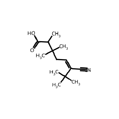 CC(C(=O)O)C(C)(C)C/C=C(/C#N)C(C)(C)C